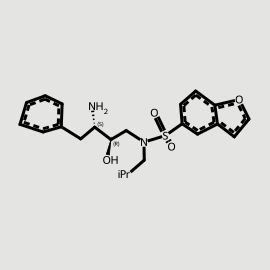 CC(C)CN(C[C@@H](O)[C@@H](N)Cc1ccccc1)S(=O)(=O)c1ccc2occc2c1